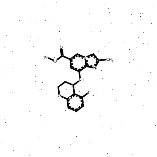 Cc1cn2cc(C(=O)OC(C)C)cc(NC3CCOc4cccc(F)c43)c2n1